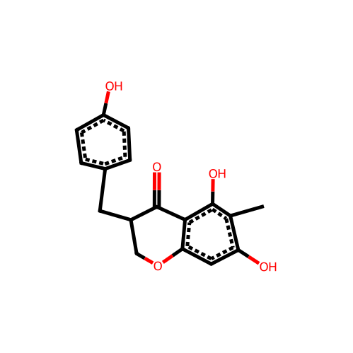 Cc1c(O)cc2c(c1O)C(=O)C(Cc1ccc(O)cc1)CO2